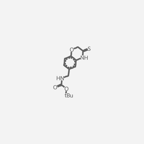 CC(C)(C)OC(=O)NCc1ccc2c(c1)NC(=S)CO2